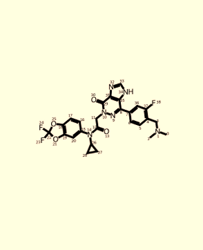 CN(C)Cc1ccc(-c2nn(CC(=O)N(c3ccc4c(c3)OC(F)(F)O4)C3CC3)c(=O)c3nc[nH]c23)cc1F